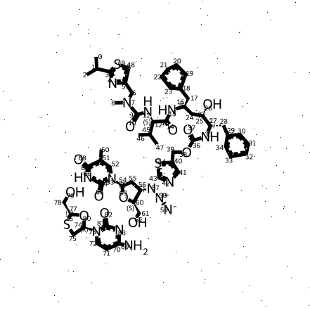 CC(C)c1nc(CN(C)C(=O)N[C@H](C(=O)N[C@@H](Cc2ccccc2)C[C@H](O)[C@H](Cc2ccccc2)NC(=O)OCc2cncs2)C(C)C)cs1.Cc1cn([C@H]2C[C@H](N=[N+]=[N-])[C@@H](CO)O2)c(=O)[nH]c1=O.Nc1ccn([C@H]2CS[C@@H](CO)O2)c(=O)n1